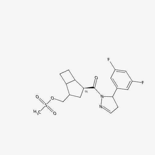 CS(=O)(=O)OCC1C[C@H](C(=O)N2N=CCC2c2cc(F)cc(F)c2)C2CCC12